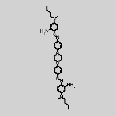 CCCCN(C)c1ccc(/N=N/c2ccc(N3CCN(c4ccc(/N=N/c5ccc(N(C)CCCC)cc5N)cc4)CC3)cc2)c(N)c1